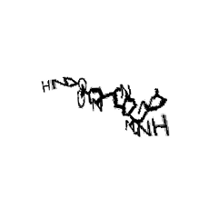 Cc1cccc(-c2[nH]cnc2-c2ccc3ncc(-c4ccc(C(=O)OC5CNC5)cn4)cc3c2)n1